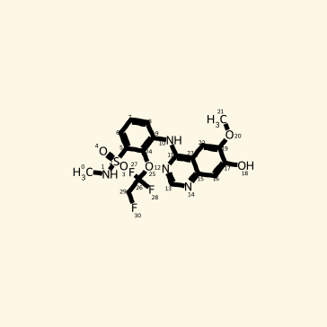 CNS(=O)(=O)c1cccc(Nc2ncnc3cc(O)c(OC)cc23)c1OC(F)(F)CF